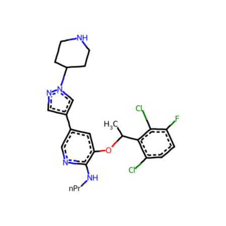 CCCNc1ncc(-c2cnn(C3CCNCC3)c2)cc1OC(C)c1c(Cl)ccc(F)c1Cl